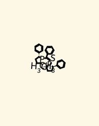 C[C@H]1CC[C@H](c2ccccc2)P1c1sc2ccccc2c1P1[C@@H](c2ccccc2)CC[C@@H]1C